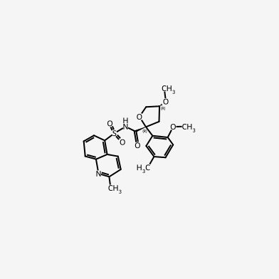 COc1ccc(C)cc1[C@@]1(C(=O)NS(=O)(=O)c2cccc3nc(C)ccc23)C[C@@H](OC)CO1